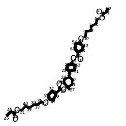 C=CC(=O)OCCCCCCOc1ccc(C(=O)Oc2ccc(C3CCC(C)(OC(=O)c4ccc(OCCCCCCOC(=O)C=C)cc4)CC3)cc2)cc1